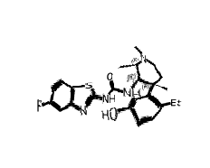 CCc1ccc(O)cc1[C@@]1(C)CCN(C)[C@H](C)[C@@H]1NC(=O)Nc1nc2cc(F)ccc2s1